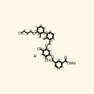 COC(=O)c1cncc(COc2cc(OCc3cccc(-c4cccc(OCCCCl)c4C)c3C)c(Cl)cc2C=O)c1.[Li]